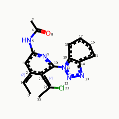 C/C=c1/cc(NC(C)=O)nc(-n2nnc3ccccc32)/c1=C(/C)Cl